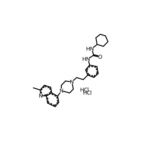 Cc1ccc2c(N3CCN(CCc4cccc(NC(=O)NC5CCCCC5)c4)CC3)cccc2n1.Cl.Cl